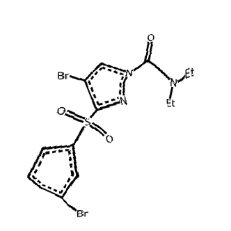 CCN(CC)C(=O)n1cc(Br)c(S(=O)(=O)c2cccc(Br)c2)n1